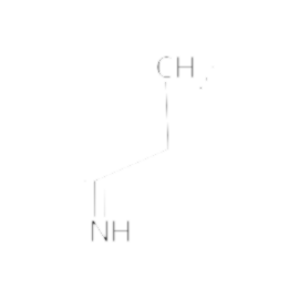 [CH2]C[C]=N